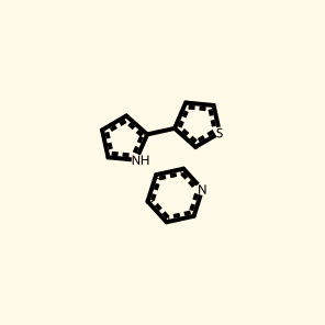 c1c[nH]c(-c2ccsc2)c1.c1ccncc1